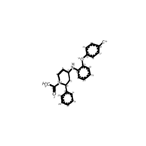 CC(=O)N1CCC(Nc2ccccc2Oc2ccc(Cl)cc2)CC1c1ccccc1